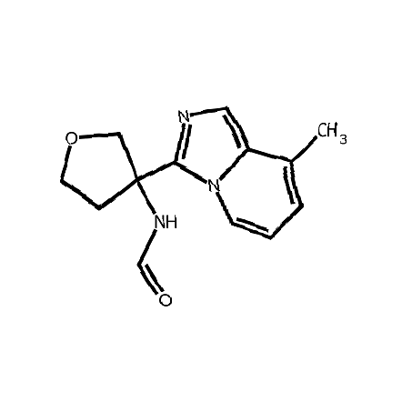 Cc1cccn2c(C3(NC=O)CCOC3)ncc12